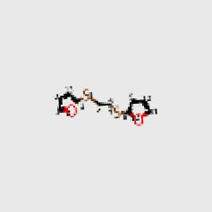 c1coc(SCCSc2ccco2)c1